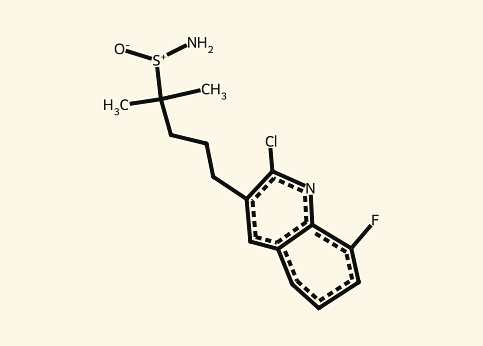 CC(C)(CCCc1cc2cccc(F)c2nc1Cl)[S+](N)[O-]